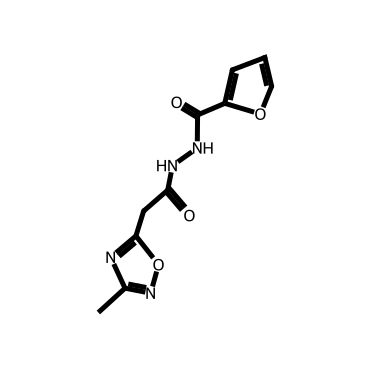 Cc1noc(CC(=O)NNC(=O)c2ccco2)n1